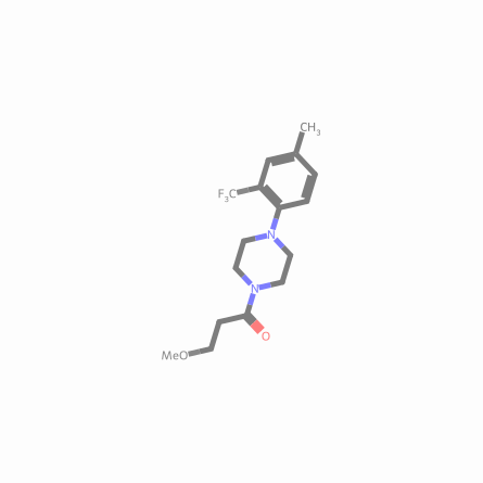 COCCC(=O)N1CCN(c2ccc(C)cc2C(F)(F)F)CC1